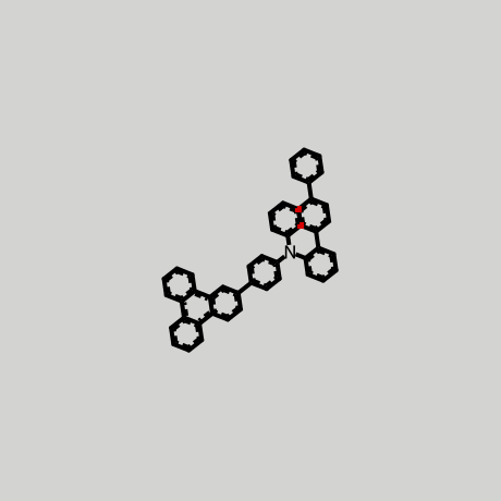 c1ccc(-c2ccc(-c3ccccc3N(c3ccccc3)c3ccc(-c4ccc5c6ccccc6c6ccccc6c5c4)cc3)cc2)cc1